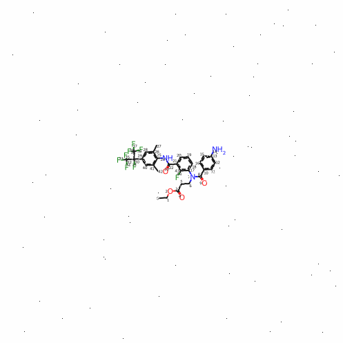 CCOC(=O)CCN(C(=O)c1ccc(N)cc1)c1cccc(C(=O)Nc2c(C)cc(C(F)(C(F)(F)F)C(F)(F)F)cc2C)c1F